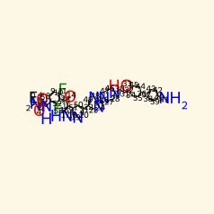 CCN(C)S(=O)(=O)Nc1ccc(F)c(C(=O)c2c[nH]c3ncc(-c4cnc(N5CCN(CC[C@]6(O)CC[C@@H](c7ccc(N)cc7)CC6)CC5)nc4)cc23)c1F